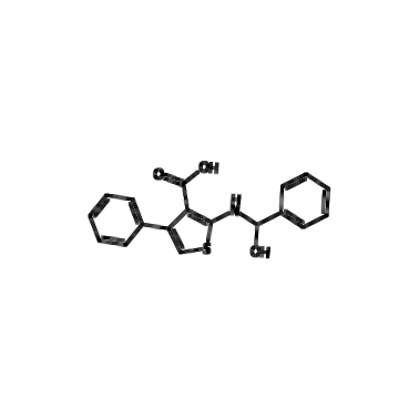 O=C(O)c1c(-c2ccccc2)csc1NC(O)c1ccccc1